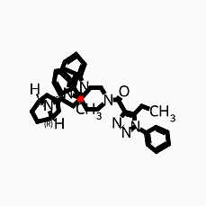 CCc1c(C(=O)N2CCC(CCN3[C@@H]4CC[C@H]3C[C@@H](n3c(C)nc5ccccc53)C4)(c3ccccc3)CC2)nnn1-c1ccccc1